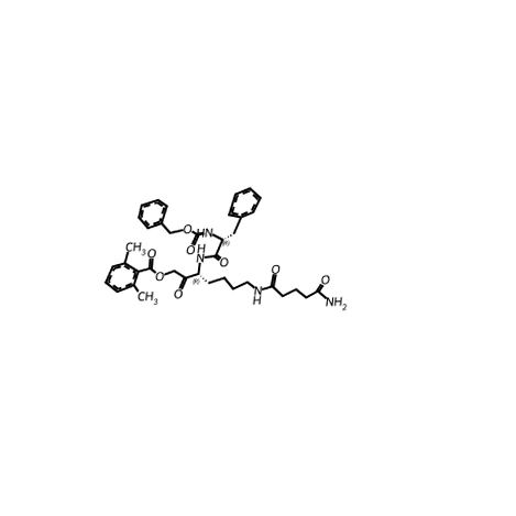 Cc1cccc(C)c1C(=O)OCC(=O)[C@@H](CCCCNC(=O)CCCC(N)=O)NC(=O)[C@@H](Cc1ccccc1)NC(=O)OCc1ccccc1